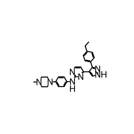 CCc1ccc(-c2n[nH]cc2-c2ccnc(Nc3ccc(N4CCN(C)CC4)cc3)n2)cc1